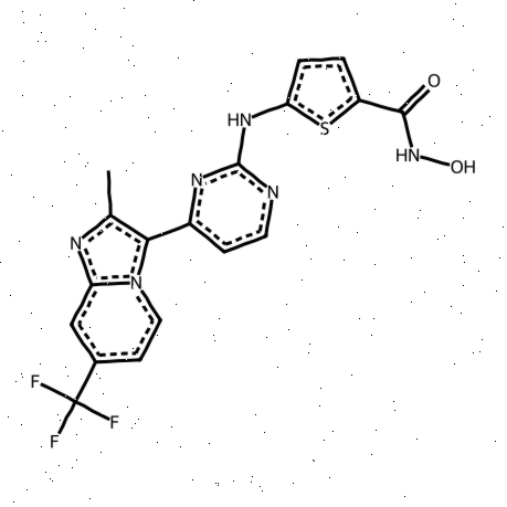 Cc1nc2cc(C(F)(F)F)ccn2c1-c1ccnc(Nc2ccc(C(=O)NO)s2)n1